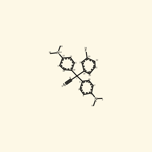 CN(C)c1ccc(C(C#N)(c2ccc(N(C)C)cc2)c2cccc(F)c2)cc1